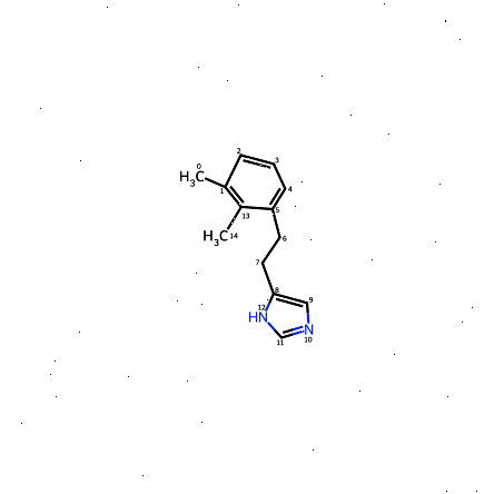 Cc1cccc(CCc2cnc[nH]2)c1C